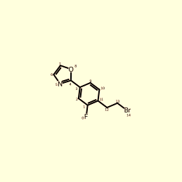 Fc1cc(-c2ncco2)ccc1CCBr